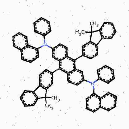 CC1(C)c2ccccc2-c2ccc(-c3c4ccc(N(c5ccccc5)c5cccc6ccccc56)cc4c(-c4ccc5c(c4)C(C)(C)c4ccccc4-5)c4ccc(N(c5ccccc5)c5cccc6ccccc56)cc34)cc21